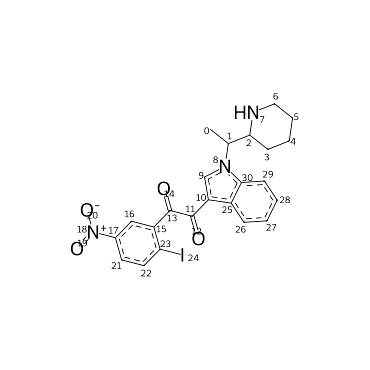 CC(C1CCCCN1)n1cc(C(=O)C(=O)c2cc([N+](=O)[O-])ccc2I)c2ccccc21